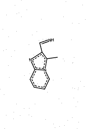 Cc1c(C=N)nc2ccccn12